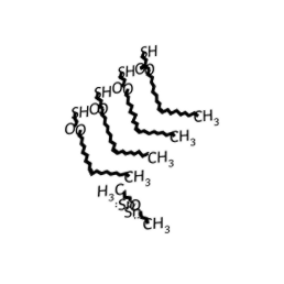 CCCCCCCC/C=C\CCCCCCCCOC(=O)CCS.CCCCCCCC/C=C\CCCCCCCCOC(=O)CCS.CCCCCCCC/C=C\CCCCCCCCOC(=O)CCS.CCCCCCCC/C=C\CCCCCCCCOC(=O)CCS.CCC[CH2][Sn][O][Sn][CH2]CCC